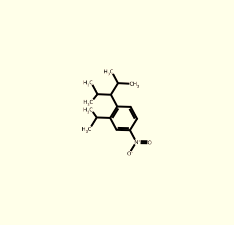 CC(C)[C](c1ccc([N+](=O)[O-])cc1C(C)C)C(C)C